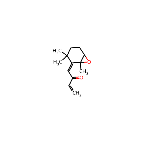 C=CC(=O)C=C1C(C)(C)CCC2OC12C